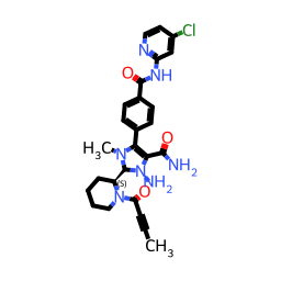 CC#CC(=O)N1CCCC[C@H]1C1N(C)C(c2ccc(C(=O)Nc3cc(Cl)ccn3)cc2)=C(C(N)=O)N1N